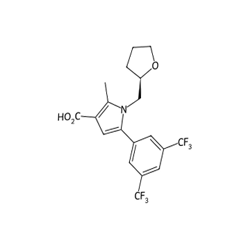 Cc1c(C(=O)O)cc(-c2cc(C(F)(F)F)cc(C(F)(F)F)c2)n1C[C@H]1CCCO1